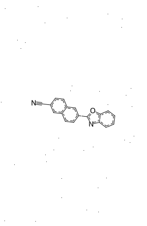 N#Cc1ccc2cc(-c3nc4ccccc4o3)ccc2c1